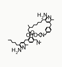 CCCCCc1cc(Cc2ccc(CN(C)C)cc2OC(=O)CC(C)CCCCCCc2cc(Cc3ccc(CN4CC(O)C4)cc3)c(C)nc2N)c(C)nc1N